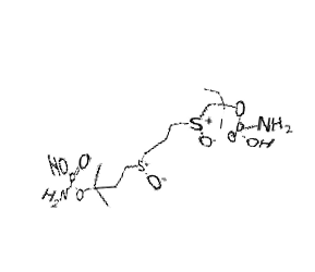 CCC(C)(C[S+]([O-])CCC[S+]([O-])CCC(C)(C)OP(N)(=O)O)OP(N)(=O)O